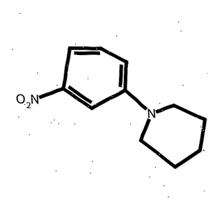 O=[N+]([O-])c1cccc(N2CC[CH]CC2)c1